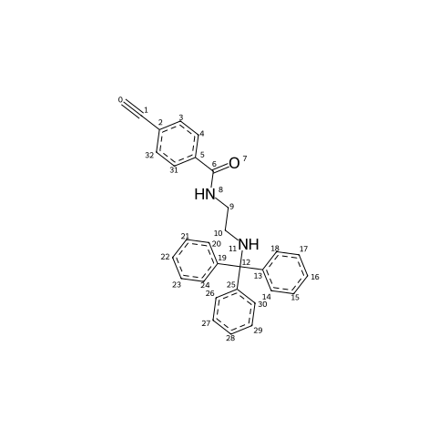 C#Cc1ccc(C(=O)NCCNC(c2ccccc2)(c2ccccc2)c2ccccc2)cc1